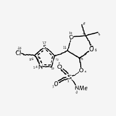 CNS(=O)(=O)OC1OC(C)(C)OC1c1cnc(Cl)s1